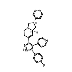 Fc1ccc(-c2[nH]nc(C3=C[C@@H]4C[C@@H](c5ccccc5)CN4CC3)c2-c2ccncc2)cc1